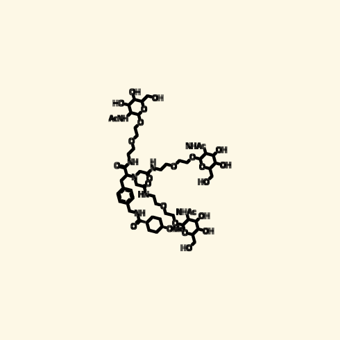 CO[C@H]1CC[C@@H](C(=O)NCc2ccc(CC(C(=O)NCCOCCOC3OC(CO)C(O)C(O)C3NC(C)=O)N(CC(=O)NCCOCCOC3OC(CO)C(O)C(O)C3NC(C)=O)CC(=O)NCCOCCOC3OC(CO)C(O)C(O)C3NC(C)=O)cc2)CC1